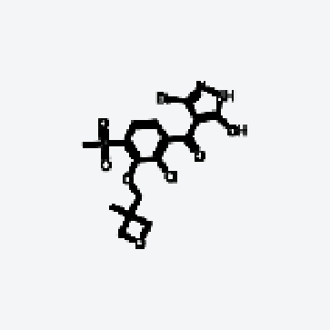 CCc1n[nH]c(O)c1C(=O)c1ccc(S(C)(=O)=O)c(OCC2(C)COC2)c1Cl